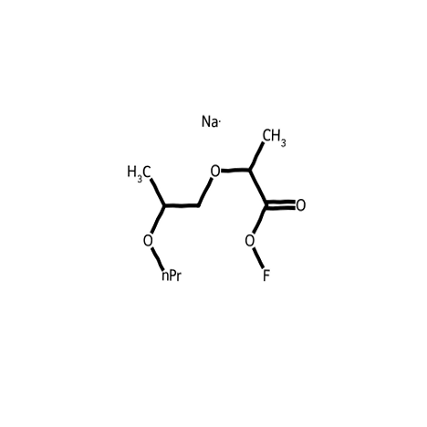 CCCOC(C)COC(C)C(=O)OF.[Na]